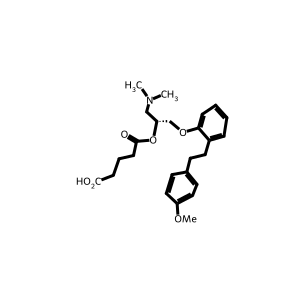 COc1ccc(CCc2ccccc2OC[C@@H](CN(C)C)OC(=O)CCCC(=O)O)cc1